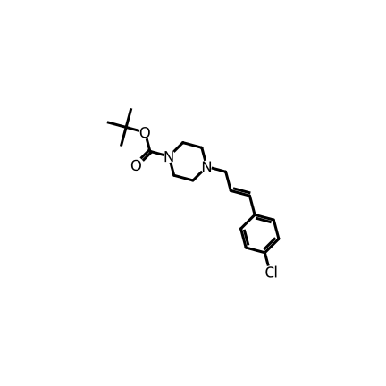 CC(C)(C)OC(=O)N1CCN(CC=Cc2ccc(Cl)cc2)CC1